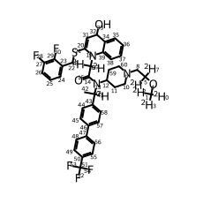 [2H]C([2H])([2H])OC([2H])([2H])CN1CCC(N(C(=O)C([2H])([2H])N2C(SCc3cccc(F)c3F)=CC(O)c3ccccc32)C([2H])(C)c2ccc(-c3ccc(C(F)(F)F)cc3)cc2)CC1